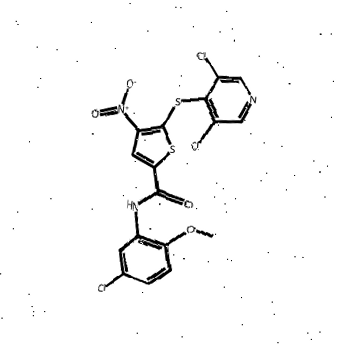 COc1ccc(Cl)cc1NC(=O)c1cc([N+](=O)[O-])c(Sc2c(Cl)cncc2Cl)s1